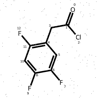 O=C(Cl)Cc1cc(F)c(F)cc1F